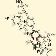 Cc1c(-c2ccc(C#CC(C)(C)O)nc2[C@H](Cc2cc(F)cc(F)c2)NC(=O)Cn2nc(C(F)(F)F)c3c2C(F)(F)[C@@H]2CC[C@H]32)ccc2n[nH]c(=O)n12